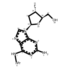 CCCNc1nc(N)nc2c1ncn2[C@H]1C[C@H](F)[C@@H](CO)O1